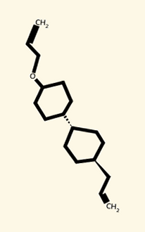 C=CCOC1CCC([C@H]2CC[C@H](CC=C)CC2)CC1